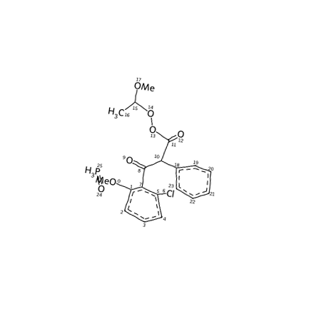 COc1cccc(Cl)c1C(=O)C(C(=O)OOC(C)OC)c1ccccc1.O=[PH3]